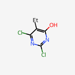 CCc1c(O)nc(Cl)nc1Cl